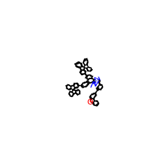 c1cc(-c2ccc3oc4ccccc4c3c2)cc(-c2cnc3c4ccc(-c5ccc6c(c5)C5(c7ccccc7-c7ccccc75)c5ccccc5-6)cc4c4cc(-c5ccc6c(c5)C5(c7ccccc7-c7ccccc75)c5ccccc5-6)ccc4c3n2)c1